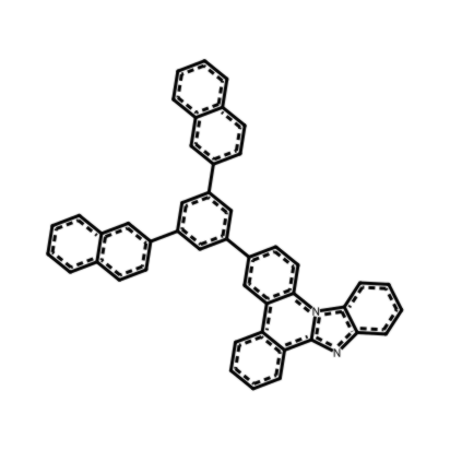 c1ccc2cc(-c3cc(-c4ccc5ccccc5c4)cc(-c4ccc5c(c4)c4ccccc4c4nc6ccccc6n54)c3)ccc2c1